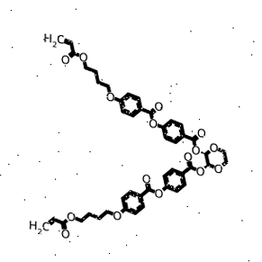 C=CC(=O)OCCCCOc1ccc(C(=O)Oc2ccc(C(=O)O[C@@H]3OCCO[C@H]3OC(=O)c3ccc(OC(=O)c4ccc(OCCCCOC(=O)C=C)cc4)cc3)cc2)cc1